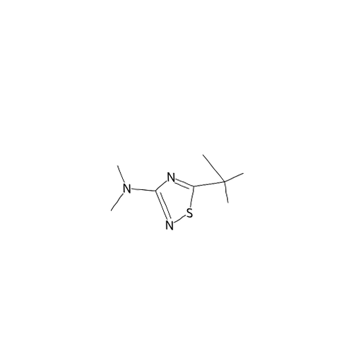 CN(C)c1nsc(C(C)(C)C)n1